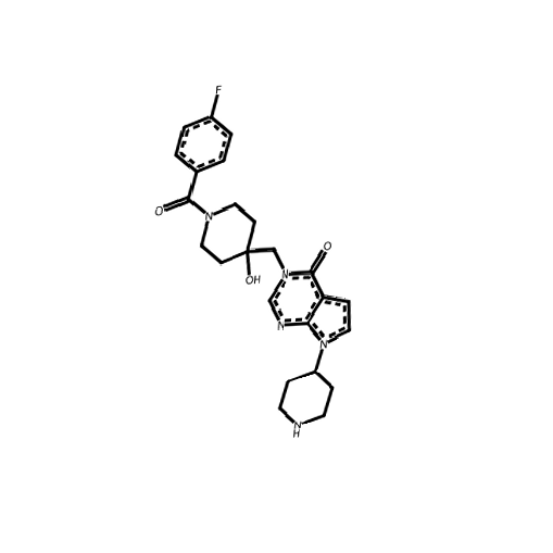 O=C(c1ccc(F)cc1)N1CCC(O)(Cn2cnc3c(ccn3C3CCNCC3)c2=O)CC1